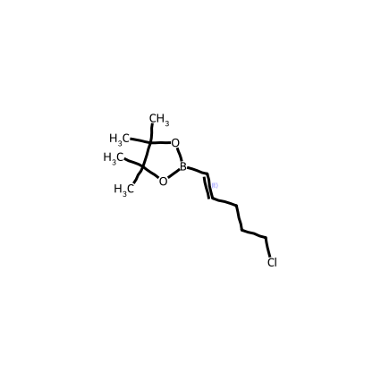 CC1(C)OB(/C=C/CCCCl)OC1(C)C